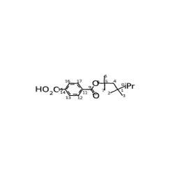 CC(C)C(C)(C)CC(C)(C)OC(=O)c1ccc(C(=O)O)cc1